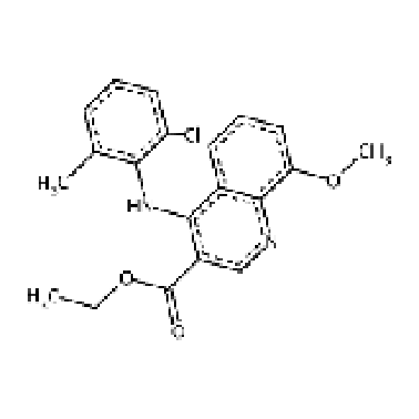 CCOC(=O)c1cnc2c(OC)cccc2c1Nc1c(C)cccc1Cl